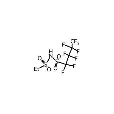 CCS(=O)(=O)NS(=O)(=O)C(F)(F)C(F)(F)C(F)(F)C(F)(F)F